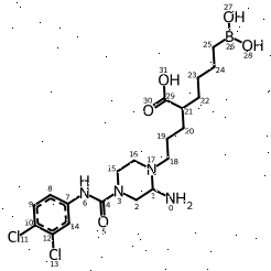 NC1CN(C(=O)Nc2ccc(Cl)c(Cl)c2)CCN1CCCC(CCCCB(O)O)C(=O)O